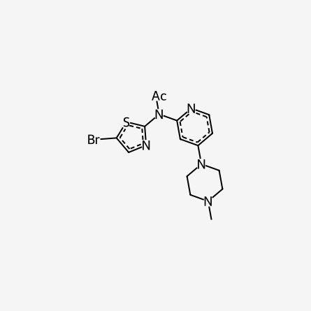 CC(=O)N(c1cc(N2CCN(C)CC2)ccn1)c1ncc(Br)s1